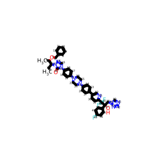 CCC(C(C)OCc1ccccc1)n1ncn(-c2ccc(N3CCN(c4ccc(-c5ccc(C(F)(F)C(O)(Cn6cnnn6)c6ccc(F)cc6)nc5)cc4)CC3)cc2)c1=O